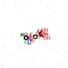 CC[C@]1([C@H](O)CO)OC2(C=C(C(=O)O)C(S(=O)(=O)Nc3ccc(F)cc3Cl)CC2)O[C@@H]1[C@H](O)CO